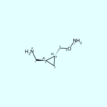 NC[C@@H]1C[C@H]1CON